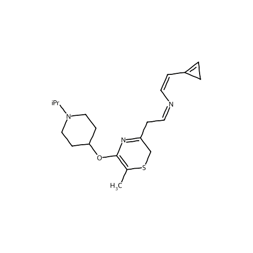 CC1=C(OC2CCN(C(C)C)CC2)N=C(C/C=N\C=C/C2=CC2)CS1